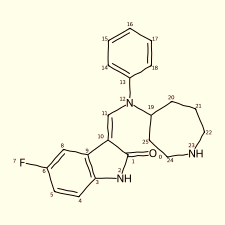 O=C1Nc2ccc(F)cc2/C1=C/N(c1ccccc1)C1CCCNCC1